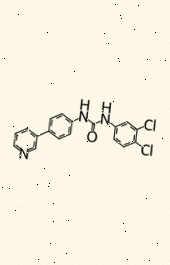 O=C(Nc1ccc(-c2cccnc2)cc1)Nc1ccc(Cl)c(Cl)c1